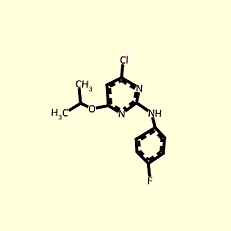 CC(C)Oc1cc(Cl)nc(Nc2ccc(F)cc2)n1